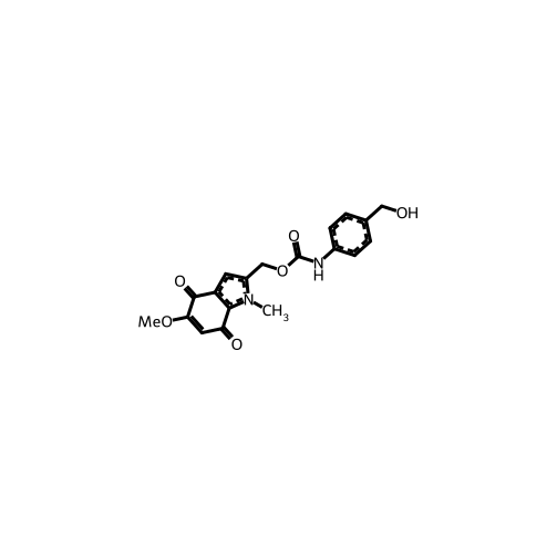 COC1=CC(=O)c2c(cc(COC(=O)Nc3ccc(CO)cc3)n2C)C1=O